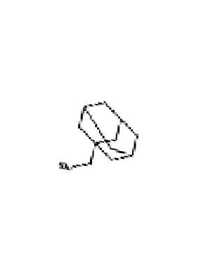 CC(C)(C)CC12CC3CC(CC(C3)C1)C2